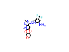 Cc1nc(NCc2cc(N)cc(C(F)(F)F)c2)c2cc(OC3CCOCC3)c(=O)n(C)c2n1